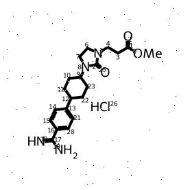 COC(=O)CCN1CCN(C2CCC(c3ccc(C(=N)N)cc3)CC2)C1=O.Cl